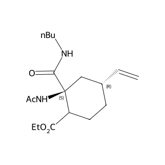 C=C[C@@H]1CCC(C(=O)OCC)[C@](NC(C)=O)(C(=O)NCCCC)C1